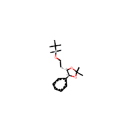 CC1(C)O[C@@H](CCO[Si](C)(C)C(C)(C)C)[C@H](c2ccccc2)O1